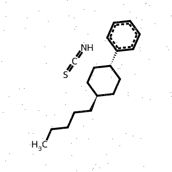 CCCCC[C@H]1CC[C@H](c2ccccc2)CC1.N=C=S